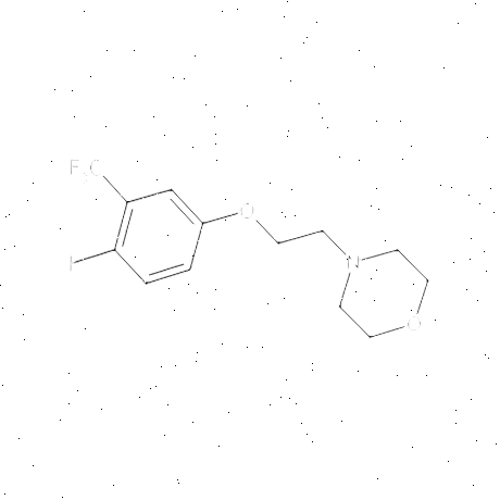 FC(F)(F)c1cc(OCCN2CCOCC2)ccc1I